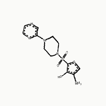 Nc1csc(S(=O)(=O)N2CCN(c3cnccn3)CC2)c1O